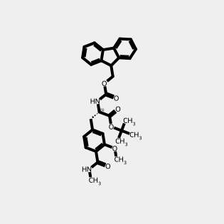 CNC(=O)c1ccc(C[C@H](NC(=O)OCC2c3ccccc3-c3ccccc32)C(=O)OC(C)(C)C)cc1OC